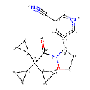 N#Cc1cncc([C@@H]2CCON2C(=O)C(C2CC2)(C2CC2)C2CC2)c1